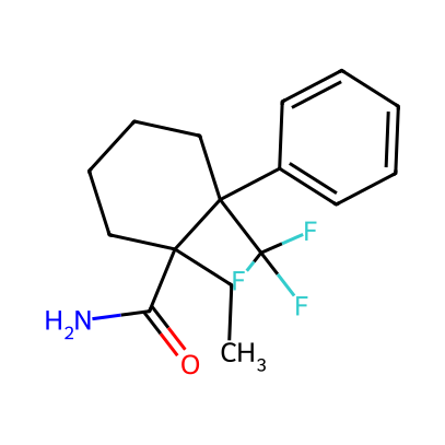 CCC1(C(N)=O)CCCCC1(c1ccccc1)C(F)(F)F